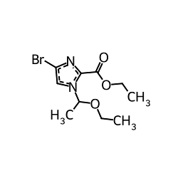 CCOC(=O)c1nc(Br)cn1C(C)OCC